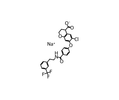 O=C(NCCc1cccc(C(F)(F)F)c1)c1ccc(Oc2cc3c(cc2Cl)C(C(=O)[O-])CCO3)cc1.[Na+]